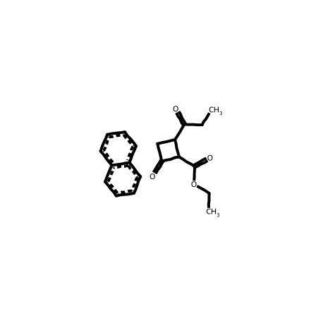 CCOC(=O)C1C(=O)CC1C(=O)CC.c1ccc2ccccc2c1